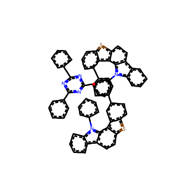 c1ccc(-c2nc(-c3ccccc3)nc(-c3cc(-c4ccc5sc6ccc7c8ccccc8n(-c8ccccc8)c7c6c5c4)ccc3-c3cccc4sc5ccc6c7ccccc7n(-c7ccccc7)c6c5c34)n2)cc1